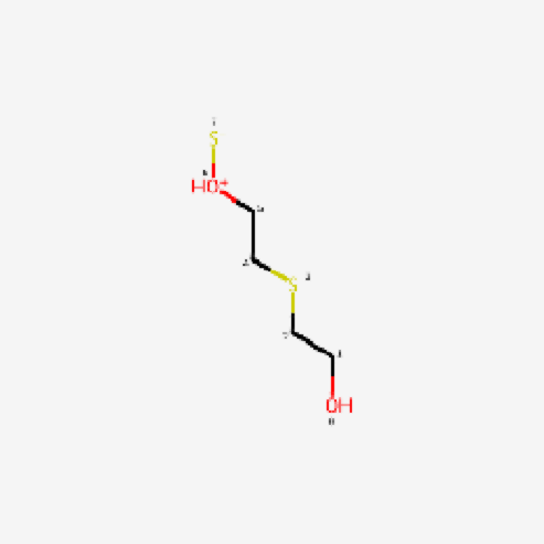 OCCSCC[OH+][S-]